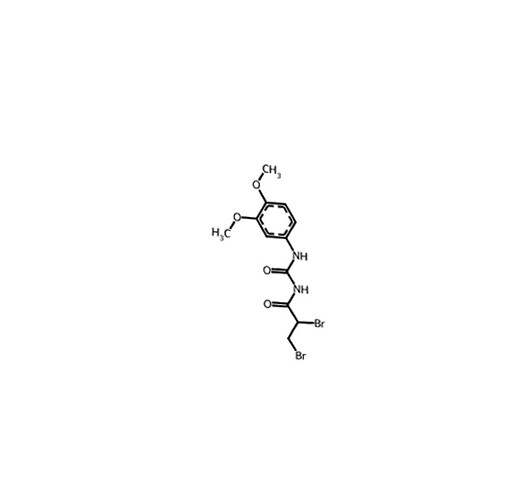 COc1ccc(NC(=O)NC(=O)C(Br)CBr)cc1OC